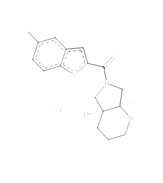 Cl.O=C(c1cc2cc(Cl)ccc2[nH]1)N1C[C@@H]2CCCN[C@@H]2C1